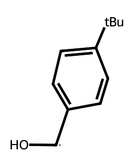 CC(C)(C)c1ccc([CH]O)cc1